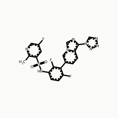 Cc1ncc(F)cc1S(=O)(=O)Nc1ccc(F)c(-c2ccc3c(-n4cnnn4)ncn3c2)c1F